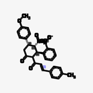 COc1ccc([C@H]2CC(=O)C(C(=O)/C=C/c3ccc(C)cc3)[C@H](c3ccccc3[N+](=O)[O-])[C@H]2[N+](=O)[O-])cc1